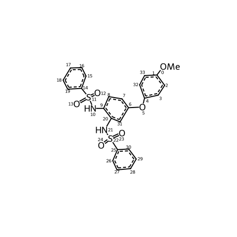 COc1ccc(Oc2ccc(NS(=O)(=O)c3ccccc3)c(NS(=O)(=O)c3ccccc3)c2)cc1